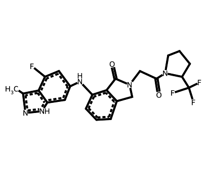 Cc1n[nH]c2cc(Nc3cccc4c3C(=O)N(CC(=O)N3CCCC3C(F)(F)F)C4)cc(F)c12